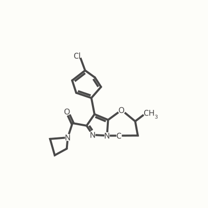 CC1CCn2nc(C(=O)N3CCC3)c(-c3ccc(Cl)cc3)c2O1